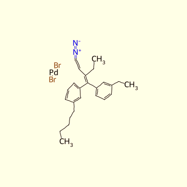 CCCCCc1cccc(C(=C(C=C=[N+]=[N-])CC)c2cccc(CC)c2)c1.[Br][Pd][Br]